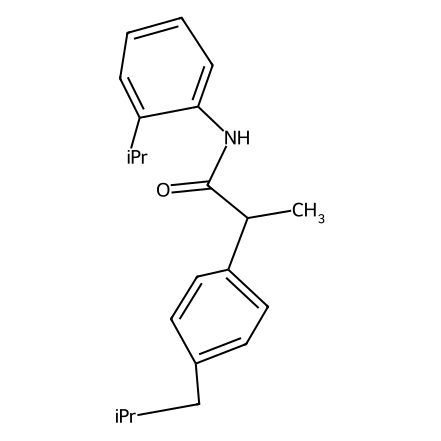 CC(C)Cc1ccc(C(C)C(=O)Nc2ccccc2C(C)C)cc1